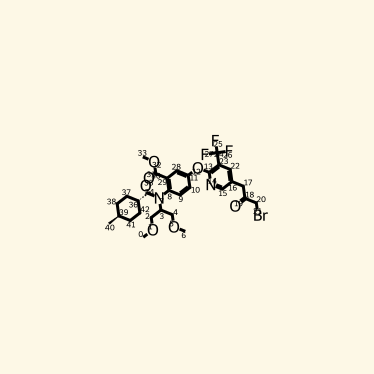 COCC(COC)N(c1ccc(Oc2ncc(CC(=O)CBr)cc2C(F)(F)F)cc1C(=O)OC)C(=O)[C@H]1CC[C@H](C)CC1